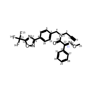 C#CCN(Cc1ccc(-c2noc(C(F)(F)F)n2)cc1)C(=O)/C(=N/OC)c1ccccc1